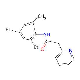 CCc1cc(C)c(NC(=O)Cc2ccccn2)c(CC)c1